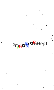 CCCCCCCOc1ccc(-c2cnc(-c3ccc(OCC(F)CC(C)C)cc3)nc2)cc1